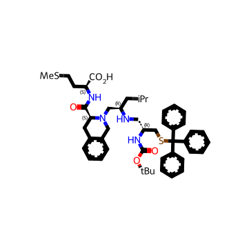 CSCC[C@H](NC(=O)[C@@H]1Cc2ccccc2CN1C[C@@H](CC(C)C)NC[C@H](CSC(c1ccccc1)(c1ccccc1)c1ccccc1)NC(=O)OC(C)(C)C)C(=O)O